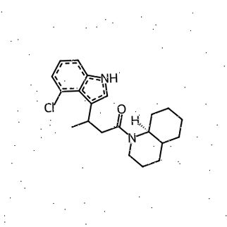 CC(CC(=O)N1CCCC2CCCC[C@@H]21)c1c[nH]c2cccc(Cl)c12